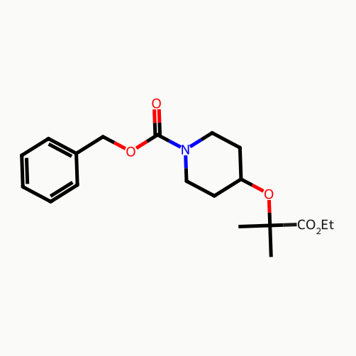 CCOC(=O)C(C)(C)OC1CCN(C(=O)OCc2ccccc2)CC1